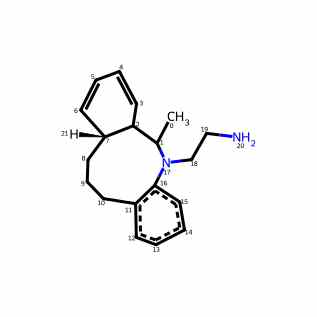 CC1C2C=CC=C[C@H]2CCCc2ccccc2N1CCN